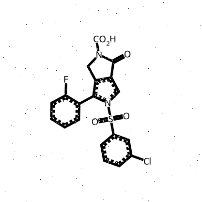 O=C(O)N1Cc2c(cn(S(=O)(=O)c3cccc(Cl)c3)c2-c2ccccc2F)C1=O